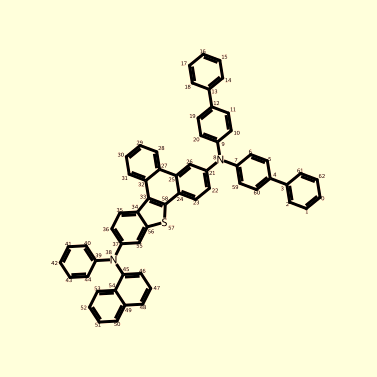 c1ccc(-c2ccc(N(c3ccc(-c4ccccc4)cc3)c3ccc4c(c3)c3ccccc3c3c5ccc(N(c6ccccc6)c6cccc7ccccc67)cc5sc43)cc2)cc1